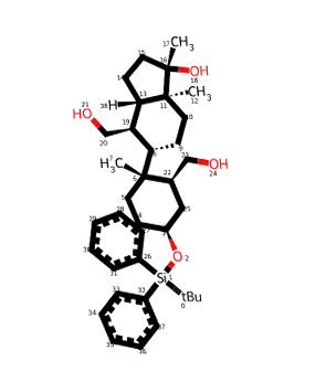 CC(C)(C)[Si](O[C@H]1CC[C@](C)([C@H]2CC[C@@]3(C)[C@@H](CC[C@]3(C)O)[C@@H]2CO)[C@@H](CO)C1)(c1ccccc1)c1ccccc1